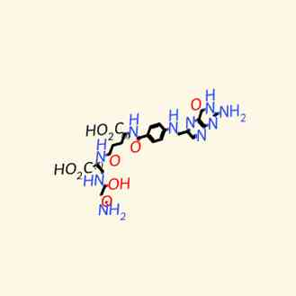 NOCC(O)NC[C@H](NC(=O)CC[C@H](NC(=O)c1ccc(NCc2cnc3nc(N)[nH]c(=O)c3n2)cc1)C(=O)O)C(=O)O